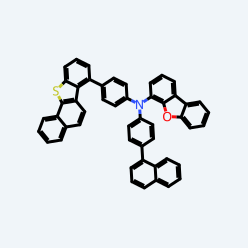 c1ccc2c(-c3ccc(N(c4ccc(-c5cccc6sc7c8ccccc8ccc7c56)cc4)c4cccc5c4oc4ccccc45)cc3)cccc2c1